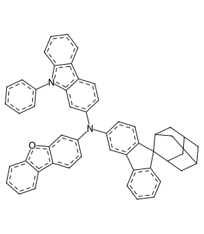 c1ccc(-n2c3ccccc3c3ccc(N(c4ccc5c(c4)-c4ccccc4C54C5CC6CC(C5)CC4C6)c4ccc5c(c4)oc4ccccc45)cc32)cc1